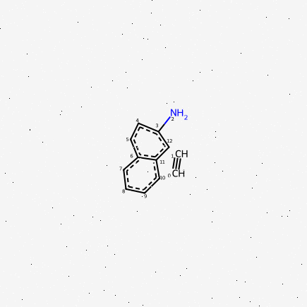 C#C.Nc1ccc2ccccc2c1